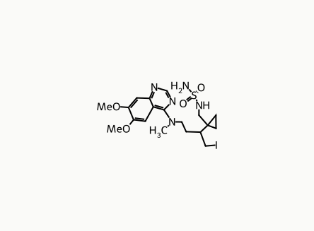 COc1cc2ncnc(N(C)CCC(CI)C3(CNS(N)(=O)=O)CC3)c2cc1OC